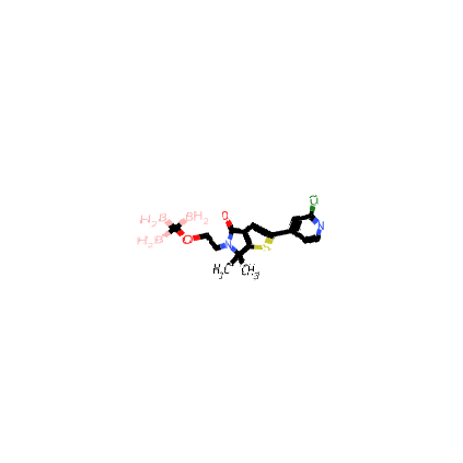 BC(B)(B)OCCN1C(=O)c2cc(-c3ccnc(Cl)c3)sc2C1(C)C